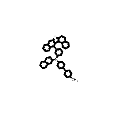 Cc1ccc(-c2ccc(N(c3cccc(-c4c5ccccc5cc5oc6ccc7ccccc7c6c45)c3)c3ccc4ccccc4c3)cc2)cc1